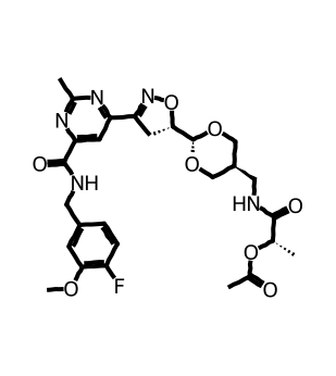 COc1cc(CNC(=O)c2cc(C3=NO[C@H]([C@H]4OC[C@H](CNC(=O)[C@H](C)OC(C)=O)CO4)C3)nc(C)n2)ccc1F